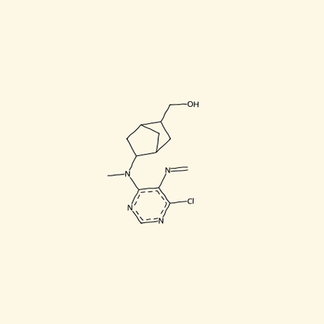 C=Nc1c(Cl)ncnc1N(C)C1CC2CC1CC2CO